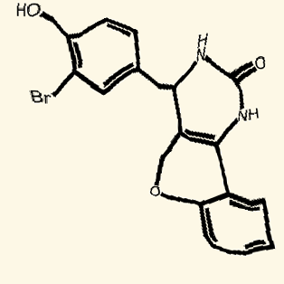 O=C1NC2=C(COc3ccccc32)C(c2ccc(O)c(Br)c2)N1